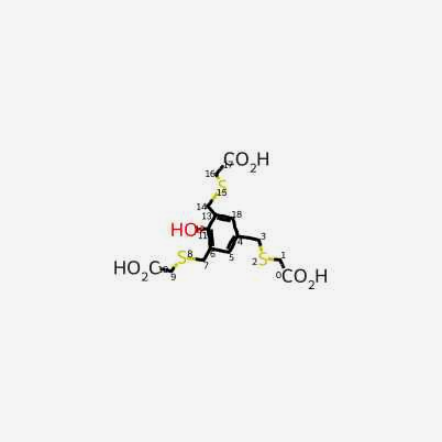 O=C(O)CSCc1cc(CSCC(=O)O)c(O)c(CSCC(=O)O)c1